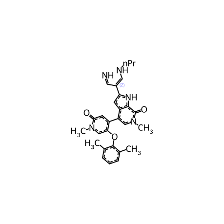 CCCN/C=C(\C=N)c1cc2c(-c3cc(=O)n(C)cc3Oc3c(C)cccc3C)cn(C)c(=O)c2[nH]1